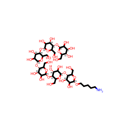 NCCCCCO[C@H]1OC(CO)[C@@H](O[C@@H]2OC(CO)[C@@H](O[C@@H]3OC(CO)[C@@H](O[C@H]4OC(CO)[C@H](O[C@H]5OC(CO)[C@@H](O[C@@H]6OC(CO)[C@@H](O)[C@H](O)C6O)[C@H](O)C5O)[C@H](O)C4O)[C@H](O)C3O)[C@H](O)C2O)[C@H](O)C1O